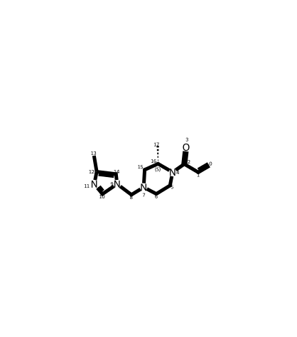 C=CC(=O)N1CCN(Cn2cnc(C)c2)C[C@@H]1C